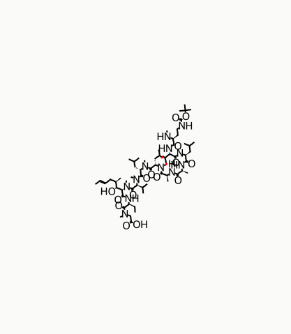 C/C=C/C[C@@H](C)[C@@H](O)[C@@H](C(=O)N[C@@H](CC)C(=O)N(C)CC(=O)O)N(C)C(=O)[C@H](C(C)C)N(C)C(=O)[C@H](CC(C)C)N(C)C(=O)[C@H](CC(C)C)N(C)C(=O)[C@H](C)NC(=O)[C@H](C)NC(=O)[C@H](CC(C)C)N(C)C(=O)[C@@H](NC(=O)[C@H](CCNC(=O)OC(C)(C)C)NC)C(C)C